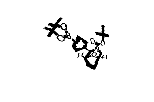 CC(C)(C)OC(=O)N1C[C@H]2CC[C@H](O2)[C@H]1c1ccc(B2OC(C)(C)C(C)(C)O2)cc1